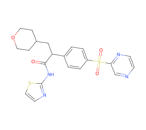 O=C(Nc1nccs1)C(CC1CCOCC1)c1ccc(S(=O)(=O)c2cnccn2)cc1